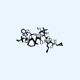 C#CCCC(NC(=O)[C@@H]1[C@@H]2[C@H](CN1C(=O)[C@@H](NC(=O)NC1(CS(=O)(=O)C(C)(C)CC)CCCCC1)C1(C)CCCCC1)C2(C)C)C(=O)C(=O)NCC1CC1